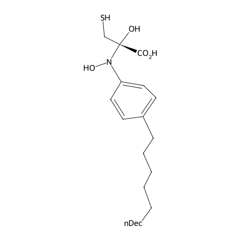 CCCCCCCCCCCCCCCc1ccc(N(O)[C@@](O)(CS)C(=O)O)cc1